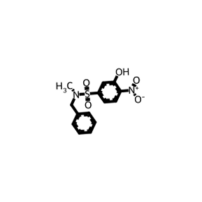 CN(Cc1ccccc1)S(=O)(=O)c1ccc([N+](=O)[O-])c(O)c1